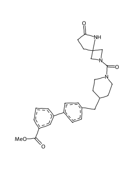 COC(=O)c1cccc(-c2ccc(CC3CCN(C(=O)N4CC5(CCC(=O)N5)C4)CC3)cc2)c1